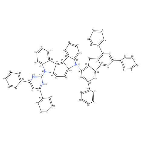 c1ccc(-c2cc(-c3ccccc3)c3c(c2)-c2cc(-c4ccccc4)cc(-n4c5ccccc5c5c6c7ccccc7n(-c7nc(-c8ccccc8)cc(-c8ccccc8)n7)c6ccc54)c2C3)cc1